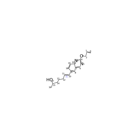 C=CCOc1ncc2cc(/C=C/CCCC(C)O)ccc2n1